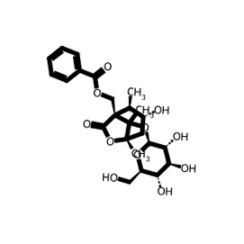 C[C@H]1[C@H](O)C[C@]2(C)OC(=O)[C@@]1(COC(=O)c1ccccc1)C2(C)O[C@@H]1O[C@H](CO)[C@@H](O)[C@H](O)[C@H]1O